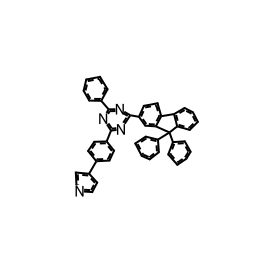 c1ccc(-c2nc(-c3ccc(-c4ccncc4)cc3)nc(-c3ccc4c(c3)C(c3ccccc3)(c3ccccc3)c3ccccc3-4)n2)cc1